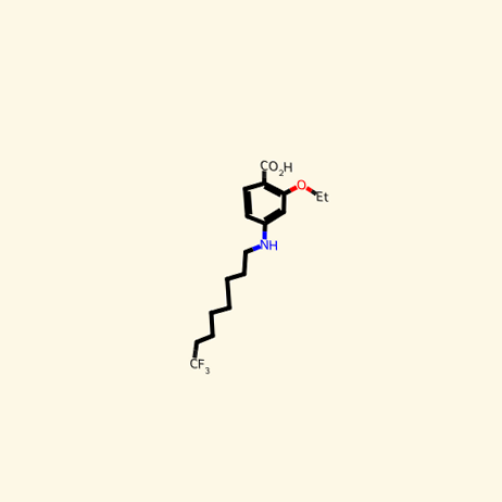 CCOc1cc(NCCCCCCCC(F)(F)F)ccc1C(=O)O